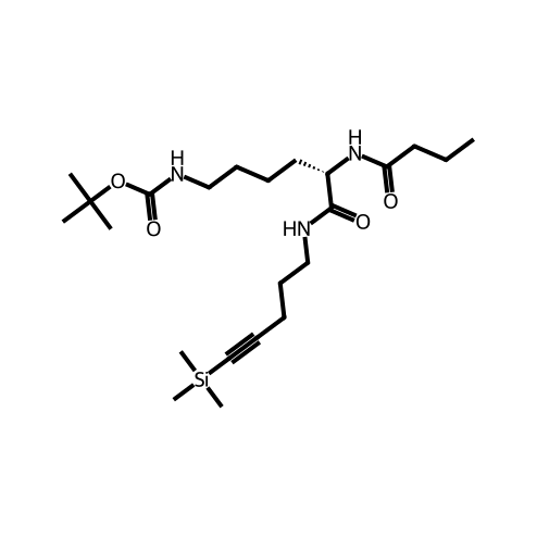 CCCC(=O)N[C@@H](CCCCNC(=O)OC(C)(C)C)C(=O)NCCCC#C[Si](C)(C)C